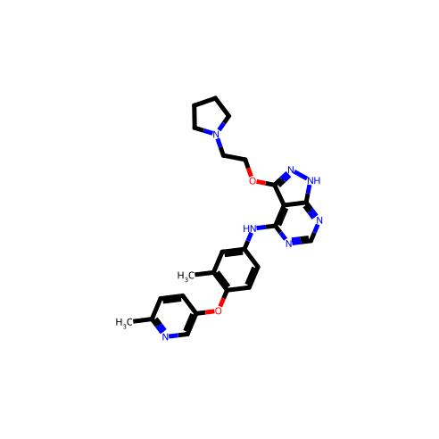 Cc1ccc(Oc2ccc(Nc3ncnc4[nH]nc(OCCN5CCCC5)c34)cc2C)cn1